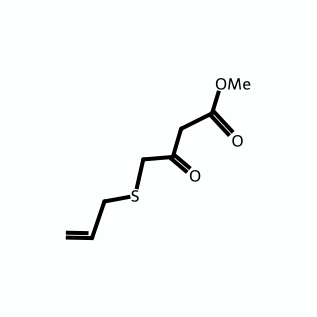 C=CCSCC(=O)CC(=O)OC